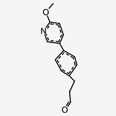 COc1ccc(-c2ccc(CCC=O)cc2)cn1